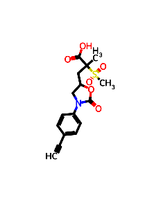 C#Cc1ccc(N2CC(CC(C)(C(=O)O)S(C)(=O)=O)OC2=O)cc1